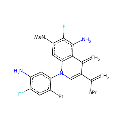 C=C(CCC)C1=CN(c2cc(N)c(F)cc2CC)c2cc(NC)c(F)c(N)c2C1=C